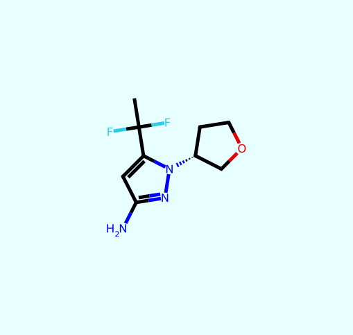 CC(F)(F)c1cc(N)nn1[C@@H]1CCOC1